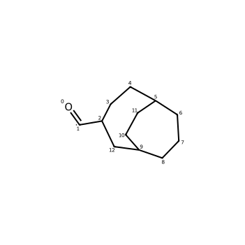 O=[C]C1CCC2CCCC(CC2)C1